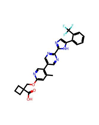 Cc1cc(OCC2(C(=O)O)CCC2)ncc1-c1cnc(-c2ncc(-c3ccccc3C(F)(F)F)[nH]2)nc1